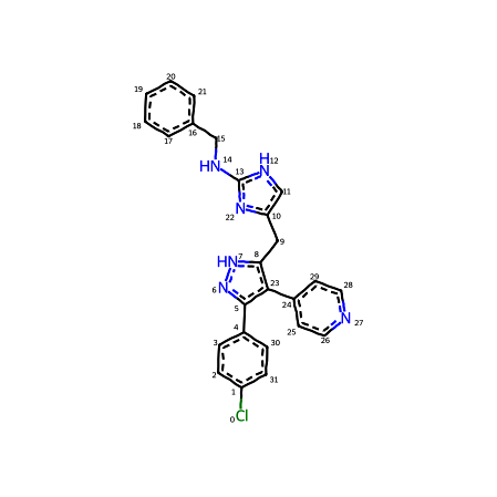 Clc1ccc(-c2n[nH]c(Cc3c[nH]c(NCc4ccccc4)n3)c2-c2ccncc2)cc1